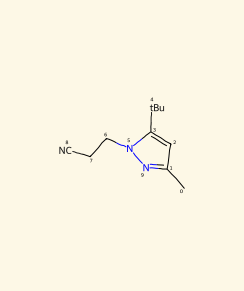 Cc1cc(C(C)(C)C)n(CCC#N)n1